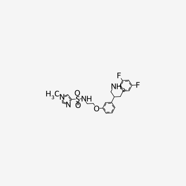 Cn1cnc(S(=O)(=O)NCCOc2cccc(C(CN)Cc3cc(F)cc(F)c3)c2)c1